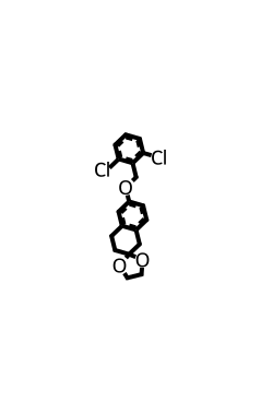 Clc1cccc(Cl)c1COc1ccc2c(c1)CCC1(C2)OCCO1